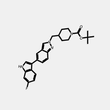 CC(C)(C)OC(=O)N1CCC(Cn2cc3cc(-c4c[nH]c5cc(F)ccc45)ccc3n2)CC1